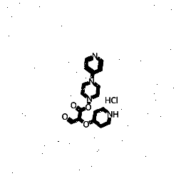 Cl.O=CC(OC1CCNCC1)C(=O)ON1CCN(c2ccncc2)CC1